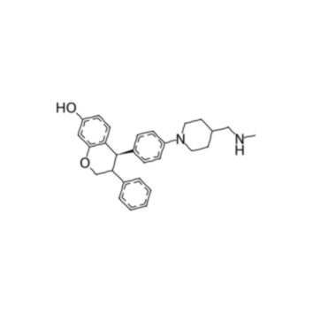 CNCC1CCN(c2ccc([C@@H]3c4ccc(O)cc4OCC3c3ccccc3)cc2)CC1